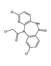 O=C1Nc2ccc(Cl)nc2N(C(=O)CCl)c2cc(Cl)ccc21